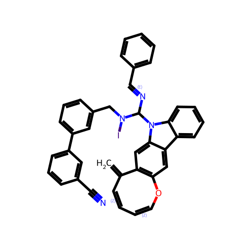 C=C1/C=C\C=C/Oc2cc3c4ccccc4n(C(/N=C/c4ccccc4)N(I)Cc4cccc(-c5cccc(C#N)c5)c4)c3cc21